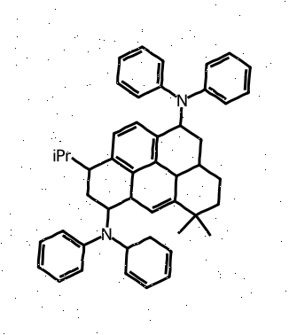 CC(C)C1CC(N(c2ccccc2)C2C=CC=CC2)C2C=C3C4c5c(ccc1c52)C(N(c1ccccc1)c1ccccc1)CC4CCC3(C)C